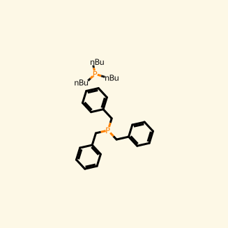 CCCCP(CCCC)CCCC.c1ccc(CP(Cc2ccccc2)Cc2ccccc2)cc1